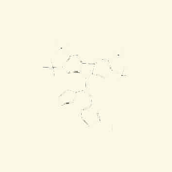 CC(C)(C)c1cc2c(cc1C(C)(C)C)[CH]([Zr](=[CH]c1cccc(Cl)c1)[CH]1C=CC=C1)c1cc(C(C)(C)C)c(C(C)(C)C)cc1-2